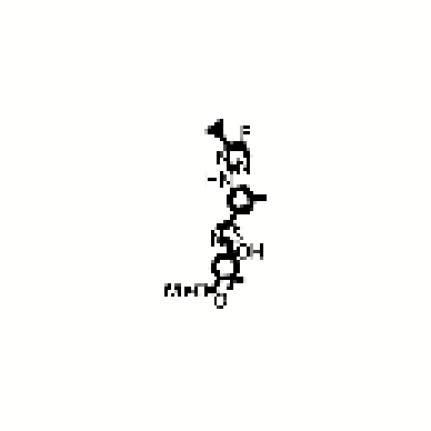 COC(=O)C1CCC(O)(c2ncc(-c3cc(C)cc(Nc4ncc(F)c(C5CC5)n4)c3)s2)CC1(C)C